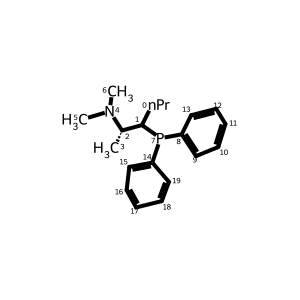 CCCC([C@H](C)N(C)C)P(c1ccccc1)c1ccccc1